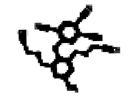 C#CCOCc1cc(C)cc(COCC#C)c1Oc1cc(C#N)c(C#N)cc1C#N